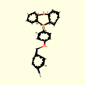 Ic1ccc(COc2ccc([SH]3c4ccccc4Sc4ccccc43)cc2)cc1